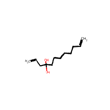 C=CCCCCCCC(O)(O)CC=C